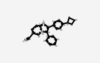 N#Cc1ccc2nc(-c3ccc(C4CCC4)cc3)c(-c3ccccc3)n2c1